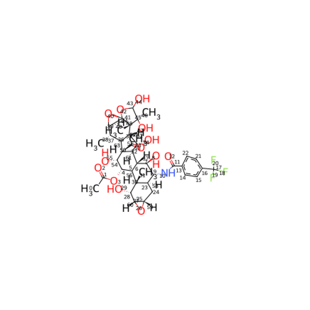 CC(=O)O[C@H]1[C@H]2[C@@H]([C@@H](O)[C@H](NC(=O)c3ccc(C(F)(F)F)cc3)[C@H]3C[C@@H]4O[C@@H]4[C@H](O)[C@]23C)[C@@H]2[C@@H](O)[C@@H]3[C@H]([C@H](C)[C@H]4O[C@]45OC(O)[C@@](C)(O)[C@]35C)[C@@]2(C(C)=O)[C@H]1O